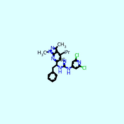 Cc1nn(C)c2nc(C(Cc3ccccc3)N/C(=N\C#N)Nc3cc(Cl)nc(Cl)c3)cc(C(C)C)c12